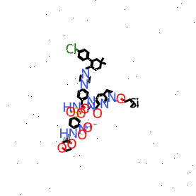 Cn1c(=O)c2nc3c(ccn3COCC[Si](C)(C)C)cc2n1-c1cc(N2CCN(CC3=C(c4ccc(Cl)cc4)CC(C)(C)CC3)CC2)ccc1C(=O)NS(=O)(=O)c1ccc(NC[C@H]2COCCO2)c([N+](=O)[O-])c1